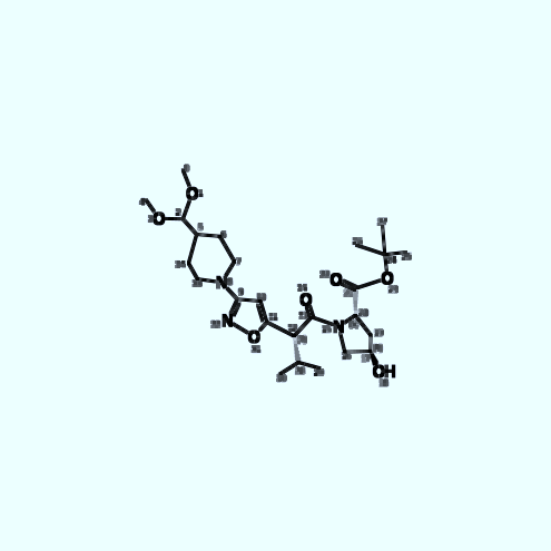 COC(OC)C1CCN(c2cc([C@H](C(=O)N3C[C@H](O)C[C@H]3C(=O)OC(C)(C)C)C(C)C)on2)CC1